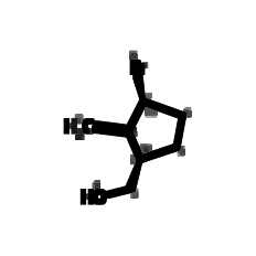 C=C1[C@H](CO)CC[C@@H]1Br